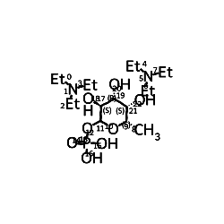 CCN(CC)CC.CCN(CC)CC.C[C@@H]1OC(OP(=O)(O)O)[C@@H](O)[C@H](O)[C@@H]1O